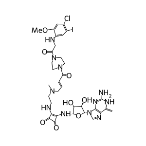 C=C1NC(N)=Nc2c1ncn2[C@@H]1O[C@H](CNc2c(NCCN(C)C/C=C/C(=O)N3CCN(C(=O)CNc4cc(I)c(Cl)cc4OC)CC3)c(=O)c2=O)[C@@H](O)[C@H]1O